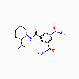 CC(C)C1CCCCC1NC(=O)c1cc(C(N)=O)cc(C(N)=O)c1